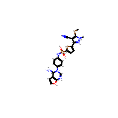 CSc1c(C#N)c(-c2ccc(S(=O)(=O)Nc3ccc(N4C=Nc5occc5C4N)cc3)s2)nn1C